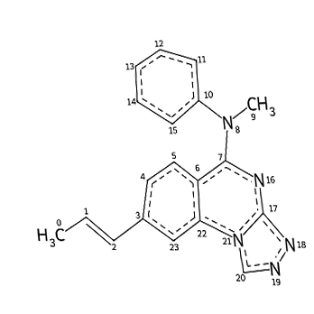 C/C=C/c1ccc2c(N(C)c3ccccc3)nc3nncn3c2c1